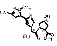 CNC(=O)[C@@H]1C[C@@H](O)CN1C(=O)[C@@H](n1cc(-c2cc(C(F)(F)F)nn2C)nn1)C(C)(C)C